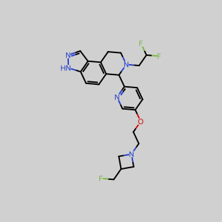 FCC1CN(CCOc2ccc(C3c4ccc5[nH]ncc5c4CCN3CC(F)F)nc2)C1